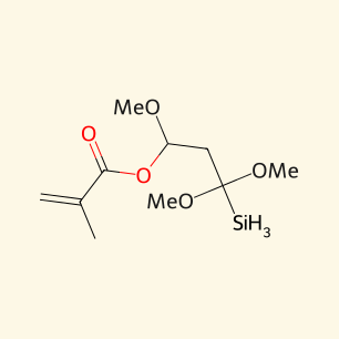 C=C(C)C(=O)OC(CC([SiH3])(OC)OC)OC